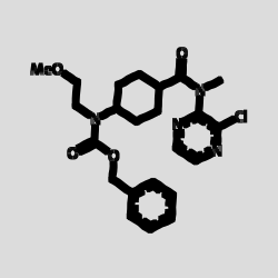 COCCN(C(=O)OCc1ccccc1)C1CCC(C(=O)N(C)c2nccnc2Cl)CC1